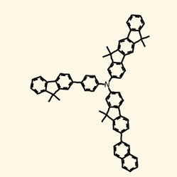 CC1(C)c2ccccc2-c2ccc(-c3ccc(N(c4ccc5c(c4)C(C)(C)c4cc(-c6ccc7ccccc7c6)ccc4-5)c4ccc5c(c4)C(C)(C)c4cc6c(cc4-5)C(C)(C)c4ccccc4-6)cc3)cc21